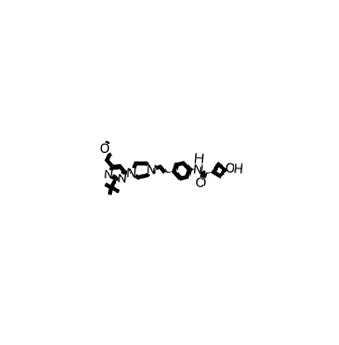 COCCc1cc(N2CCN(CC[C@H]3CC[C@@H](NC(=O)[C@H]4C[C@H](O)C4)CC3)CC2)nc(C(C)(C)C)n1